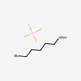 CCCCCCCCCCCCC[CH]C(C)CC.F[B-](F)(F)F